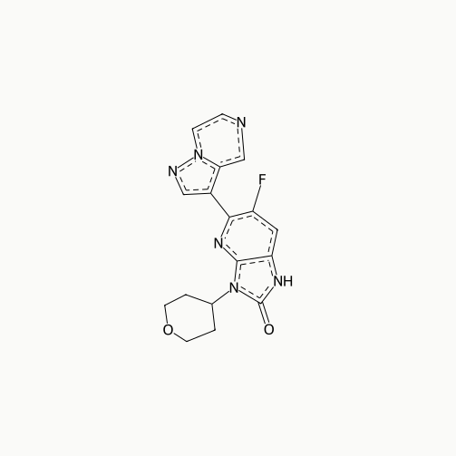 O=c1[nH]c2cc(F)c(-c3cnn4ccncc34)nc2n1C1CCOCC1